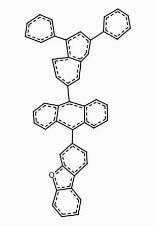 c1ccc(-c2cc(-c3ccccc3)c3ccc(-c4c5ccccc5c(-c5ccc6c(c5)oc5ccccc56)c5ccccc45)cc3c2)cc1